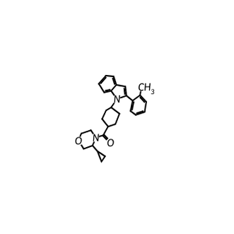 Cc1ccccc1-c1cc2ccccc2n1C1CCC(C(=O)N2CCOCC2C2CC2)CC1